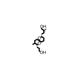 CC1CCC2(CCC[C@@H](CC[C@H](C)CO)O2)O[C@@H]1CCCO